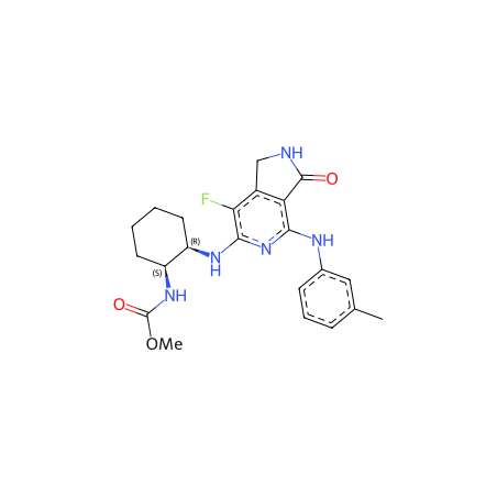 COC(=O)N[C@H]1CCCC[C@H]1Nc1nc(Nc2cccc(C)c2)c2c(c1F)CNC2=O